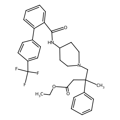 CCOC(=O)CC(C)(CN1CCC(NC(=O)c2ccccc2-c2ccc(C(F)(F)F)cc2)CC1)c1ccccc1